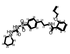 C=CCOc1ccccc1C(=O)NCCc1ccc(S(=O)(=O)NC(=O)NN2CCCCC2)cc1